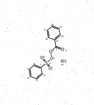 O=C(OOS(=O)(=O)c1ccccc1)c1ccccc1.[KH]